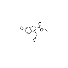 CCOC(=O)C1Cc2cc(OC)ccc2N1CC#N